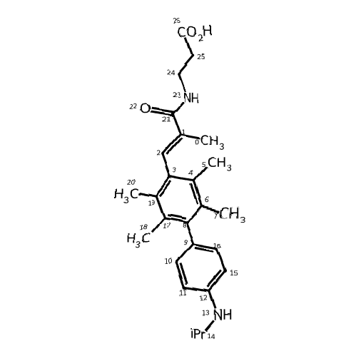 C/C(=C\c1c(C)c(C)c(-c2ccc(NC(C)C)cc2)c(C)c1C)C(=O)NCCC(=O)O